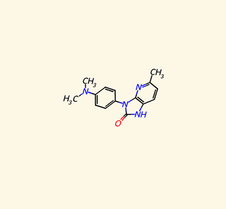 Cc1ccc2[nH]c(=O)n(-c3ccc(N(C)C)cc3)c2n1